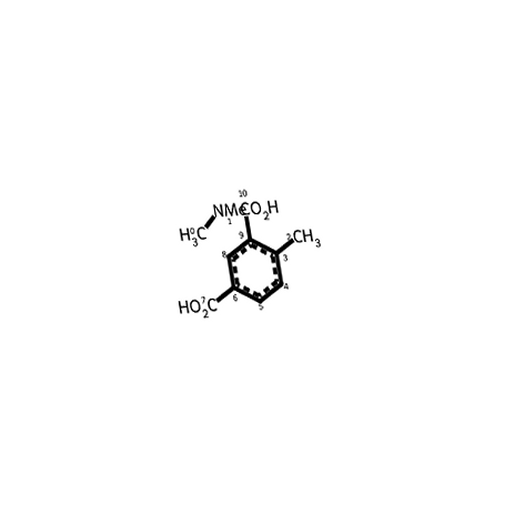 CNC.Cc1ccc(C(=O)O)cc1C(=O)O